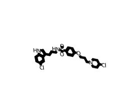 O=S(=O)(NCCCc1c[nH]c2ccc(Cl)cc12)c1ccc(OCCCN2CCC(Cl)CC2)cc1